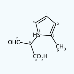 CC1=CC=C[SH]1C(C=O)C(=O)O